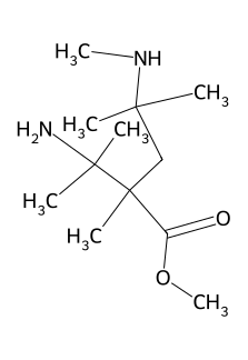 CNC(C)(C)CC(C)(C(=O)OC)C(C)(C)N